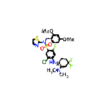 COc1ccc(CN(c2nccs2)S(=O)(=O)c2cc(Cl)c(N[C@@H]3CCC(F)(F)C[C@H]3N(C)C)cc2F)c(OC)c1